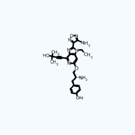 CCn1c(-c2nonc2N)nc2c(C#CC(C)(C)O)nc(OC[C@H](N)Cc3ccc(O)cc3)cc21